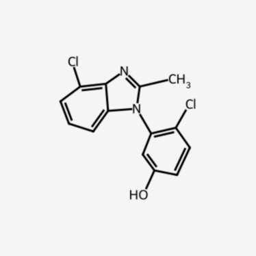 Cc1nc2c(Cl)cccc2n1-c1cc(O)ccc1Cl